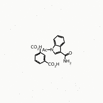 CC(=O)n1cc(C(N)=O)c2ccccc21.O=C(O)c1cccc(C(=O)O)c1